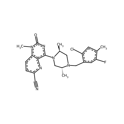 Cc1cc(Cl)c(CN2C[C@H](C)N(c3nc(=O)n(C)c4ccc(C#N)nc34)C[C@H]2C)cc1F